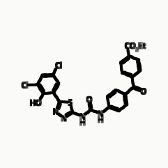 CCOC(=O)c1ccc(C(=O)c2ccc(NC(=O)Nc3nnc(-c4cc(Cl)cc(Cl)c4O)s3)cc2)cc1